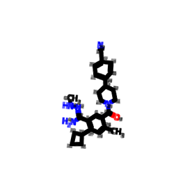 CN/N=C(\N)c1cc(C(=O)N2CCC(c3ccc(C#N)cc3)CC2)c(C)cc1C1CCC1